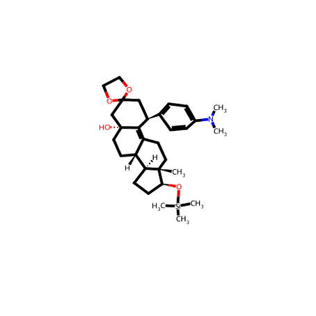 CN(C)c1ccc([C@@H]2CC3(C[C@]4(O)CC[C@@H]5C(=C24)CC[C@]2(C)[C@@H](O[Si](C)(C)C)CC[C@@H]52)OCCO3)cc1